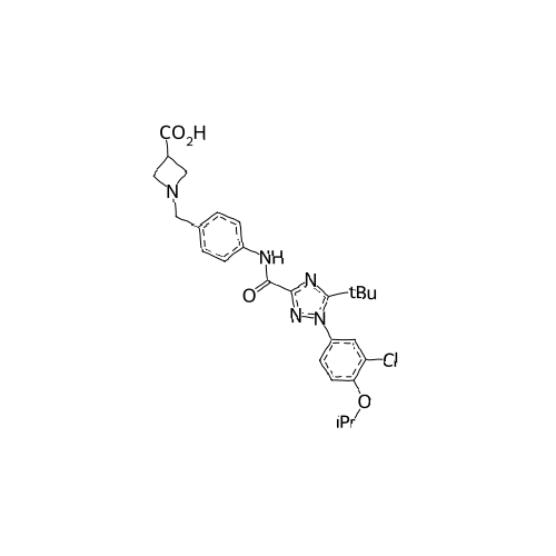 CC(C)Oc1ccc(-n2nc(C(=O)Nc3ccc(CN4CC(C(=O)O)C4)cc3)nc2C(C)(C)C)cc1Cl